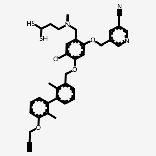 C#CCOc1cccc(-c2cccc(COc3cc(OCc4cncc(C#N)c4)c(CN(C)CCC(S)S)cc3Cl)c2C)c1C